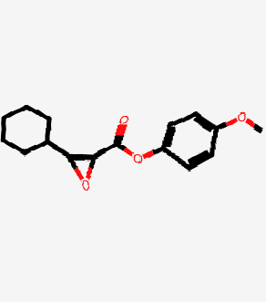 COc1ccc(OC(=O)C2OC2C2CCCCC2)cc1